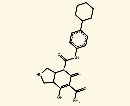 NC(=O)C1=C(O)C2CNCC2N(C(=O)Nc2ccc(C3CCCCC3)cc2)C1=O